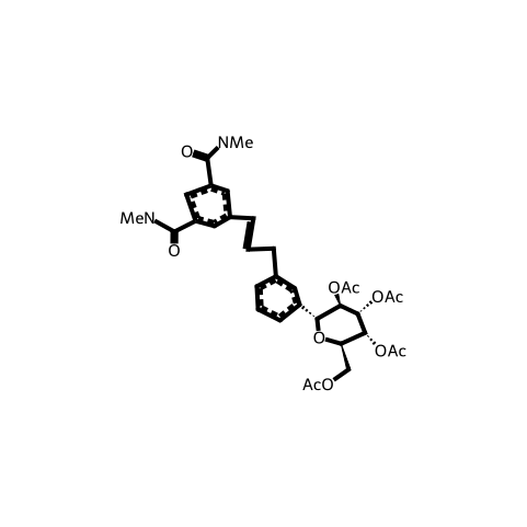 CNC(=O)c1cc(/C=C/Cc2cccc([C@H]3O[C@H](COC(C)=O)[C@@H](OC(C)=O)[C@@H](OC(C)=O)[C@@H]3OC(C)=O)c2)cc(C(=O)NC)c1